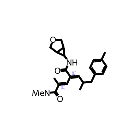 CNC(=O)/C(C)=C/C(=C\C(C)Cc1ccc(C)cc1)C(=O)NC1C2COCC21